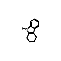 In1c2c(c3ccccc31)CCCC2